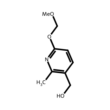 COCOc1ccc(CO)c(C)n1